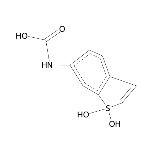 O=C(O)Nc1ccc2c(c1)S(O)(O)C=C2